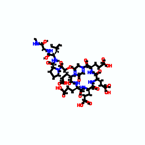 CNC(=O)CNC(=O)[C@H](CC(C)C)NC(=O)[C@@H]1CCCN1C(=O)COCCNC(=O)[C@@H](CCC(=O)O)NC(=O)[C@@H](CCC(=O)O)NC(=O)[C@@H](CCC(=O)O)NC(=O)[C@@H](CCC(=O)O)NC(=O)[C@@H](CCC(=O)O)NC(C)=O